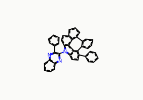 c1ccc(-c2ccc3c4c2-c2ccccc2-c2cccc5ccc(c4c25)n3-c2nc3ccccc3nc2-c2ccccc2)cc1